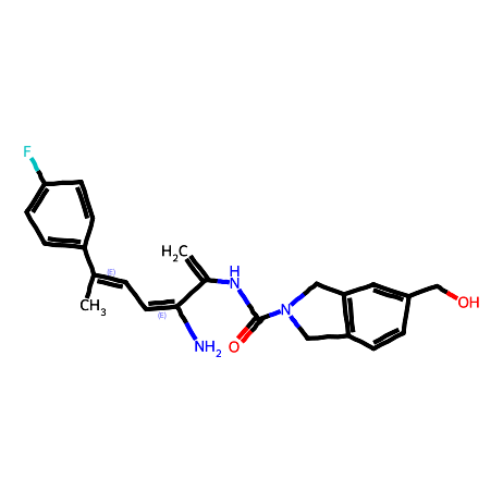 C=C(NC(=O)N1Cc2ccc(CO)cc2C1)/C(N)=C\C=C(/C)c1ccc(F)cc1